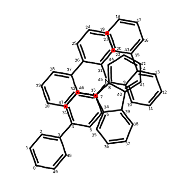 c1ccc(-c2ccc(N(c3ccccc3-c3ccccc3)c3ccccc3-c3ccccc3-n3c4ccccc4c4ccccc43)cc2)cc1